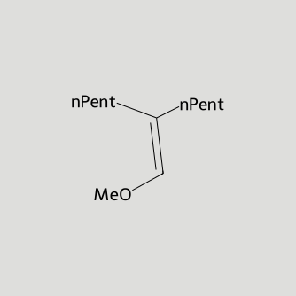 CCCCCC(=COC)CCCCC